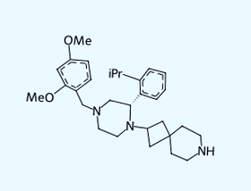 COc1ccc(CN2CCN(C3CC4(CCNCC4)C3)[C@@H](c3ccccc3C(C)C)C2)c(OC)c1